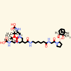 CC(C)(C)OC(=O)N(CCNC(=O)O)CC(CC(=O)NCCCCCC(=O)NCC(=O)N1CCC[C@H]1B1OC2CC3C[C@@H](C3(C)C)[C@]2(C)O1)CN(CCNC(=O)O)C(=O)OC(C)(C)C